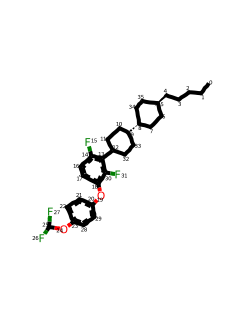 CCCCC[C@H]1CC[C@H](C2CCC(c3c(F)c[c]c(Oc4ccc(OC(F)F)cc4)c3F)CC2)CC1